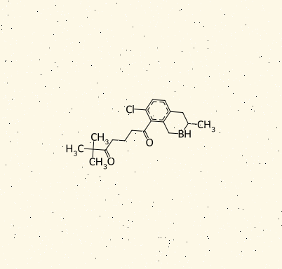 CC1BCc2c(ccc(Cl)c2C(=O)CCCC(=O)C(C)(C)C)C1